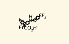 CCC(C(=O)O)n1c2c(c3cc(F)ccc31)CC(NCCOc1ccc(C(F)(F)F)cc1)CC2